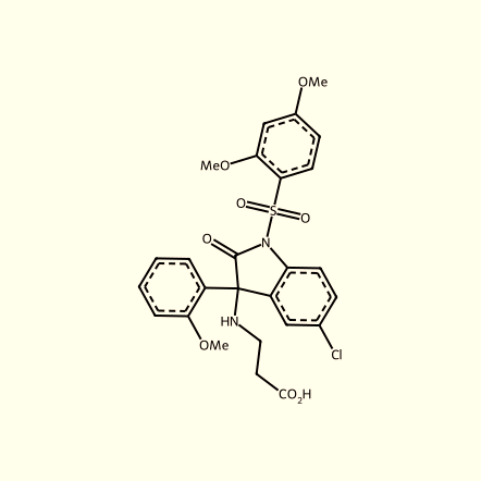 COc1ccc(S(=O)(=O)N2C(=O)C(NCCC(=O)O)(c3ccccc3OC)c3cc(Cl)ccc32)c(OC)c1